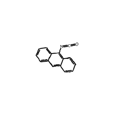 O=C=Nc1c2ccccc2cc2ccccc12